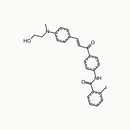 CN(CCO)c1ccc(/C=C/C(=O)c2ccc(NC(=O)c3ccccc3I)cc2)cc1